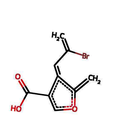 C=C(Br)/C=c1/c(C(=O)O)coc1=C